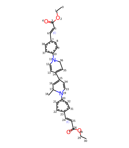 CCOC(=O)/C=C/c1ccc(N2C=CC(C3=CC(C)N(c4ccc(/C=C/C(=O)OCC)cc4)C=C3)=CC2)cc1